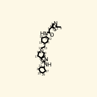 Cc1ncc(CC(=O)N[C@H]2CC[C@H](CCN3CCc4sc(NC5CCCCC5)nc4C3)CC2)s1